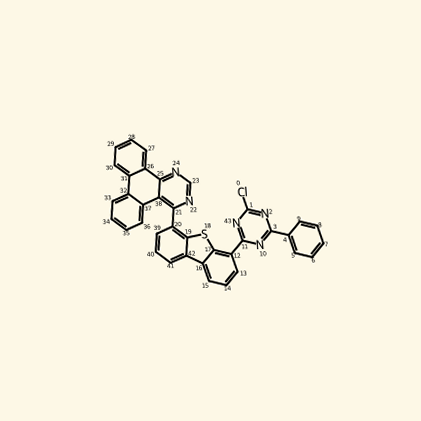 Clc1nc(-c2ccccc2)nc(-c2cccc3c2sc2c(-c4ncnc5c6ccccc6c6ccccc6c45)cccc23)n1